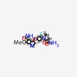 COc1cc2nccc(Oc3ccc(N(C(=O)C4(C(N)=O)CC4)C4CC4)c(F)c3)c2cc1C(N)=O